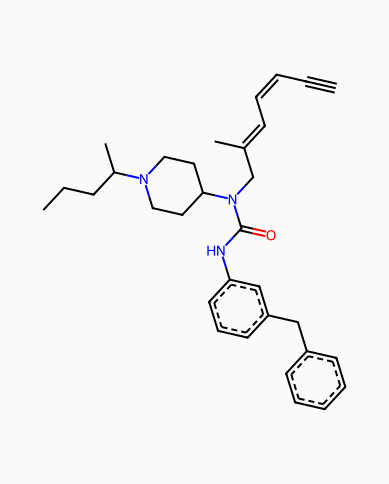 C#C/C=C\C=C(/C)CN(C(=O)Nc1cccc(Cc2ccccc2)c1)C1CCN(C(C)CCC)CC1